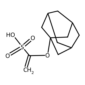 C=C(OC12CC3CC(CC(C3)C1)C2)S(=O)(=O)O